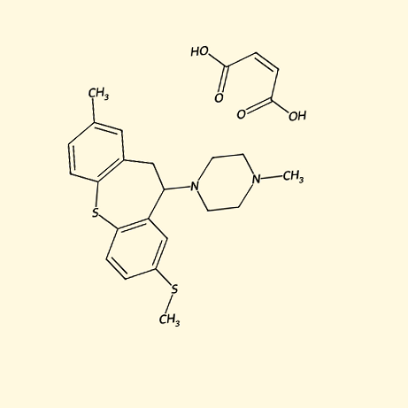 CSc1ccc2c(c1)C(N1CCN(C)CC1)Cc1cc(C)ccc1S2.O=C(O)/C=C\C(=O)O